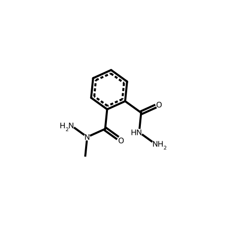 CN(N)C(=O)c1ccccc1C(=O)NN